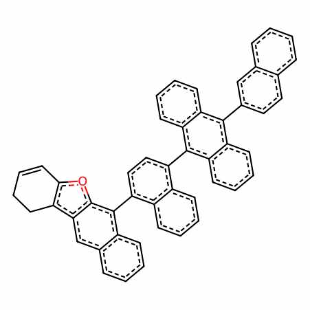 C1=Cc2oc3c(-c4ccc(-c5c6ccccc6c(-c6ccc7ccccc7c6)c6ccccc56)c5ccccc45)c4ccccc4cc3c2CC1